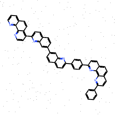 c1ccc(-c2ccc3ccc4ccc(-c5ccc(-c6ccc7ccc(-c8ccc9ccc(-c%10ccnc%11c%10ccc%10cccnc%10%11)nc9c8)cc7n6)cc5)nc4c3n2)cc1